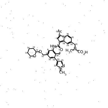 CC(=O)c1cc(C(=O)Nc2cc(COC3CCCCO3)cc(-c3cnn(C)c3)c2F)c2cc(CN(C)C(=O)O)ccn12